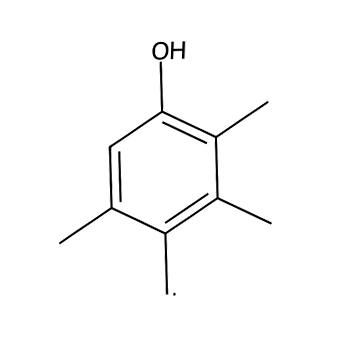 [CH2]c1c(C)cc(O)c(C)c1C